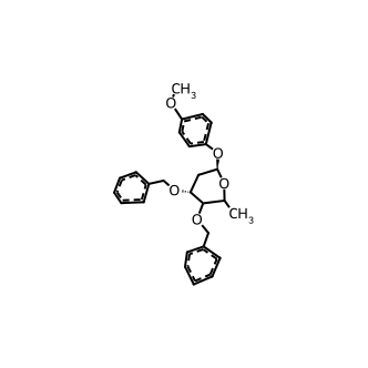 COc1ccc(O[C@@H]2C[C@@H](OCc3ccccc3)C(OCc3ccccc3)C(C)O2)cc1